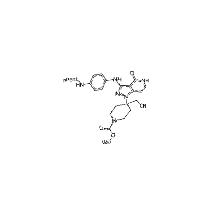 CCCCCNc1ccc(Nc2nn(C3(CC#N)CCN(C(=O)OC(C)(C)C)CC3)c3cc[nH]c(=O)c23)cc1